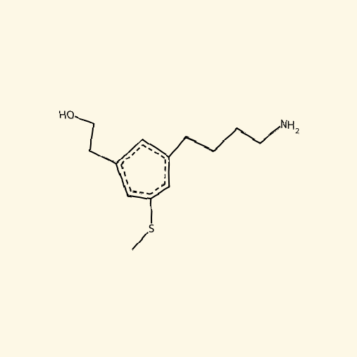 CSc1cc(CCO)cc(CCCCN)c1